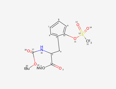 COC(=O)C(Cc1ccccc1OS(=O)(=O)C(F)(F)F)NC(=O)OC(C)(C)C